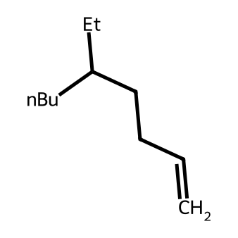 C=CCCC(CC)CCCC